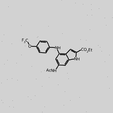 CCOC(=O)c1cc2c(Nc3ccc(OC(F)(F)F)cc3)cc(NC(C)=O)cc2[nH]1